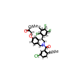 CNc1ccc(Cl)cc1C(=O)N(CCc1cc(F)c(F)c(C)c1F)Cc1ccc(OCC(=O)OC)cc1